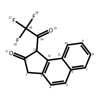 O=C1Cc2ccc3ccccc3c2C1C(=O)C(F)(F)F